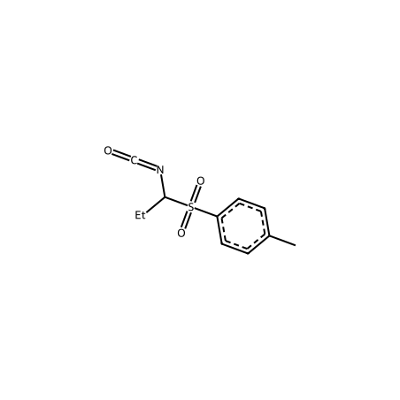 CCC(N=C=O)S(=O)(=O)c1ccc(C)cc1